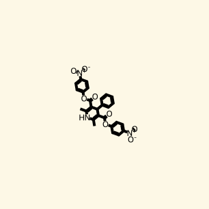 CC1=C(C(=O)Oc2ccc([N+](=O)[O-])cc2)C(c2ccccc2)C(C(=O)Oc2ccc([N+](=O)[O-])cc2)=C(C)N1